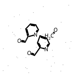 C=O.O=Cc1ccccn1.O=Cc1ccccn1